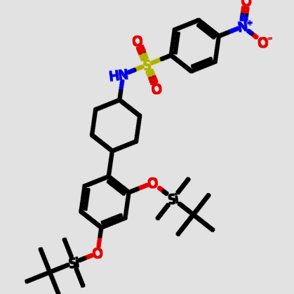 CC(C)(C)[Si](C)(C)Oc1ccc(C2CCC(NS(=O)(=O)c3ccc([N+](=O)[O-])cc3)CC2)c(O[Si](C)(C)C(C)(C)C)c1